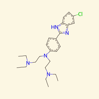 CCN(CC)CCN(CCN(CC)CC)c1ccc(-c2nc3cc(Cl)ccc3[nH]2)cc1